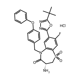 CC(C)(C)c1nnc(-c2cc3c(cc2F)S(=O)(=O)C[C@H](N)C(=O)N3Cc2ccc(Oc3ccccc3)cc2)o1.Cl